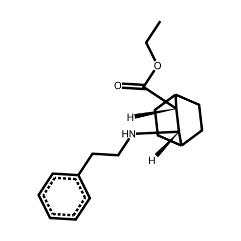 CCOC(=O)[C@@H]1C2CCC(CC2)[C@@H]1NCCc1ccccc1